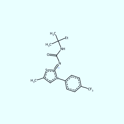 CCC(C)(C)NC(=O)/N=c1\sc(C)cn1-c1ccc(C(F)(F)F)cc1